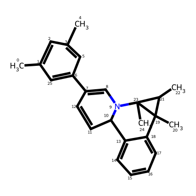 Cc1cc(C)cc(C2=CN3C(C=C2)c2ccccc2C2(C)C(C)C32C)c1